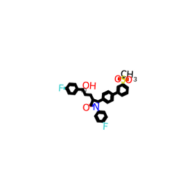 CS(=O)(=O)c1cccc(-c2ccc(C3C(CC[C@H](O)c4ccc(F)cc4)C(=O)N3c3ccc(F)cc3)cc2)c1